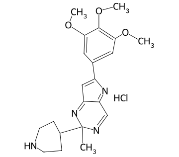 COc1cc(C2=CC3=NC(C)(C4CCNCC4)N=CC3=N2)cc(OC)c1OC.Cl